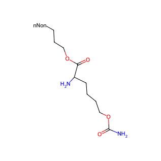 CCCCCCCCCCCCOC(=O)C(N)CCCCOC(N)=O